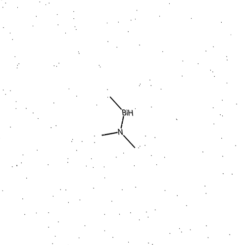 [CH3][BiH][N](C)C